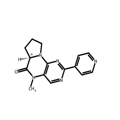 CN1C(=O)[C@H]2CCCN2c2nc(-c3ccncc3)ncc21